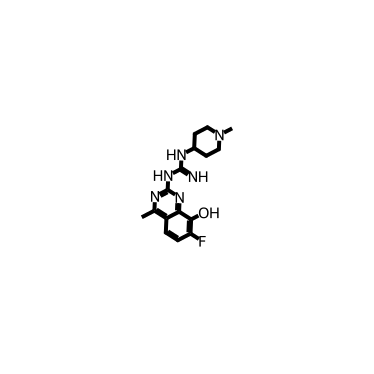 Cc1nc(NC(=N)NC2CCN(C)CC2)nc2c(O)c(F)ccc12